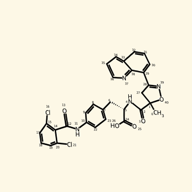 CC1(C(=O)N[C@@H](Cc2ccc(NC(=O)c3c(Cl)cccc3Cl)cc2)C(=O)O)CC(c2cccc3cccnc23)=NO1